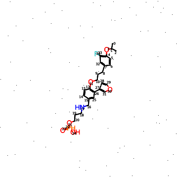 CC(C)Oc1ccc(CCCOc2ccc(CNCCCO[PH](=O)O)cc2-c2ccoc2)cc1F